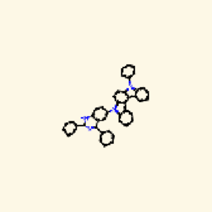 c1ccc(C2=NC(c3ccccc3)Nc3ccc(-n4c5ccccc5c5c6c7ccccc7n(-c7ccccc7)c6ccc54)cc32)cc1